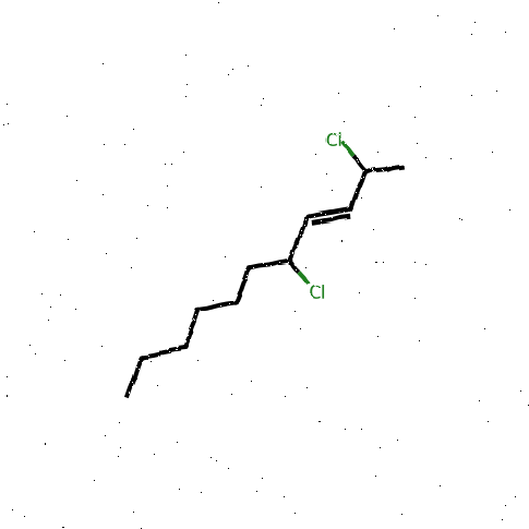 CCCCCCC(Cl)/C=C/C(C)Cl